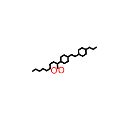 CCCCCC1CCC(C2CCC(CCC3CCC(CCC)CC3)CC2)C(=O)O1